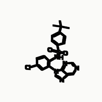 CC(C)(C)c1ccc(S(=O)(=O)Nc2ccc(Cl)cc2-n2cnc3cncnc32)cc1